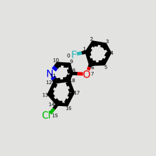 Fc1ccccc1Oc1ccnc2cc(Cl)ccc12